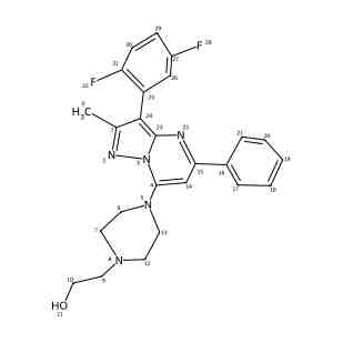 Cc1nn2c(N3CCN(CCO)CC3)cc(-c3ccccc3)nc2c1-c1cc(F)ccc1F